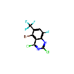 Fc1cc(C(F)(F)F)c(Br)c2c(Cl)nc(Cl)nc12